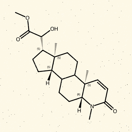 COC(=O)C(O)[C@H]1CC[C@H]2C3CC[C@H]4N(C)C(=O)C=C[C@]4(C)C3CC[C@]12C